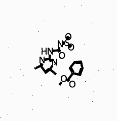 COC(=O)c1ccccc1.Cc1cc(C)nc(NC(=O)N=S(=O)=O)n1